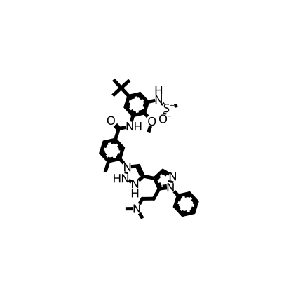 COc1c(NC(=O)c2ccc(C)c(N3C=C(c4cnn(-c5ccccc5)c4CCN(C)C)NN3)c2)cc(C(C)(C)C)cc1N[S+](C)[O-]